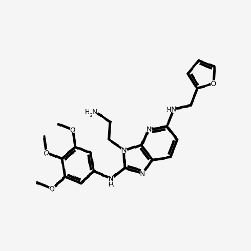 COc1cc(Nc2nc3ccc(NCc4ccco4)nc3n2CCN)cc(OC)c1OC